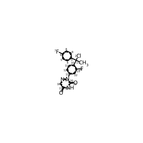 CC(Cl)(c1ccc(F)cc1)c1ccc(-n2ncc(=O)[nH]c2=O)cc1F